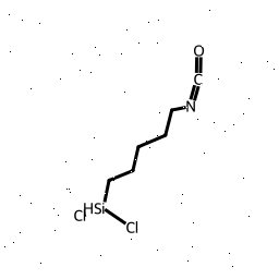 O=C=NCCCCC[SiH](Cl)Cl